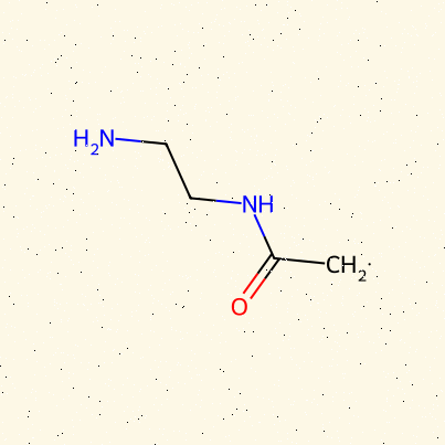 [CH2]C(=O)NCCN